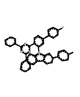 Cc1ccc(-c2ccc3c4ccccc4n(-c4cc(-c5ccc(F)cc5)ccc4-c4nc(-c5ccccc5)nc(-c5ccccc5)n4)c3c2)cc1